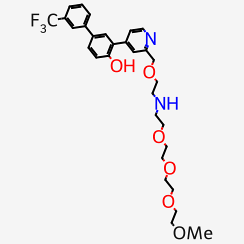 COCCOCCOCCOCCNCCOCc1cc(-c2cc(-c3cccc(C(F)(F)F)c3)ccc2O)ccn1